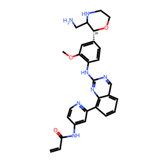 C=CC(=O)Nc1ccnc(-c2cccc3cnc(Nc4ccc([C@H]5OCCNC5CN)cc4OC)nc23)c1